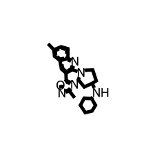 Cc1ccc2nc(N3CCCC(NC4CCCCC4)CC3)c(-c3nc(C)no3)cc2c1